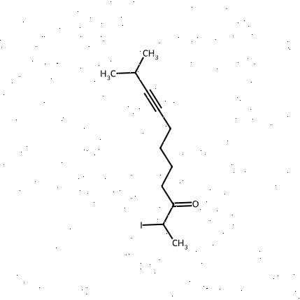 CC(C)C#CCCCCC(=O)C(C)I